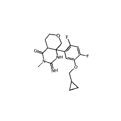 CN1C(=N)NC2(c3cc(OCC4CC4)c(F)cc3F)COCCC2C1=O